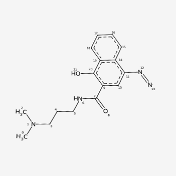 CN(C)CCCNC(=O)c1cc(N=[N])c2ccccc2c1O